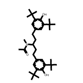 CC(=O)N(C)C(CCc1cc(C(C)(C)C)c(O)c(C(C)(C)C)c1)CCc1cc(C(C)(C)C)c(O)c(C(C)(C)C)c1